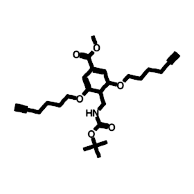 C#CCCCCOC1=CC(C(=O)OC)=CC(OCCCCC#C)C1CNC(=O)OC(C)(C)C